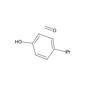 C=O.CC(C)c1ccc(O)cc1